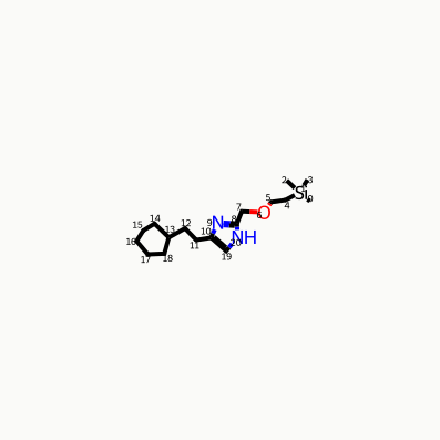 C[Si](C)(C)CCOCc1nc(CCC2CCCCC2)c[nH]1